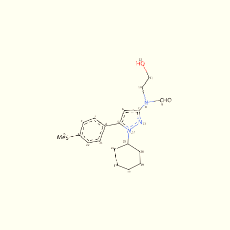 CSc1ccc(-c2cc(N(C=O)CCO)nn2C2CCCCC2)cc1